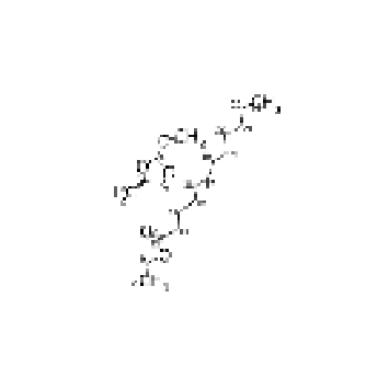 C=C1COC(OC)O1.C=COC(=O)CCCCCCCCCCC